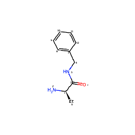 CC[C@@H](N)C(=O)NCc1ccccc1